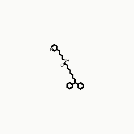 O=C(CCCCCCC=C(c1ccccc1)c1ccccc1)NCCCCc1cccnc1